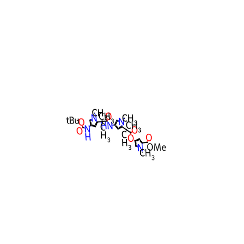 COC(=O)c1cc(OC(=O)C(C)(C)c2cc(NC(=O)C(C)(C)c3cc(NC(=O)OC(C)(C)C)cn3C)cn2C)cn1C